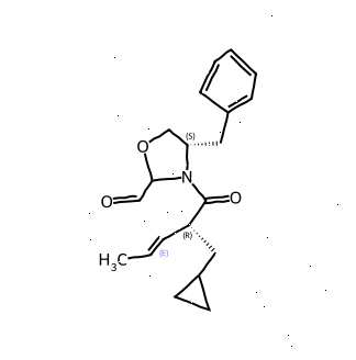 C/C=C/[C@@H](CC1CC1)C(=O)N1C(C=O)OC[C@@H]1Cc1ccccc1